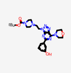 CC(C)(C)OC(=O)N1CCN(CCn2nnc3c(N4CCOCC4)nc(-c4cccc(O)c4)nc32)CC1